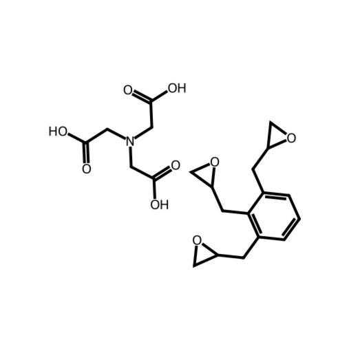 O=C(O)CN(CC(=O)O)CC(=O)O.c1cc(CC2CO2)c(CC2CO2)c(CC2CO2)c1